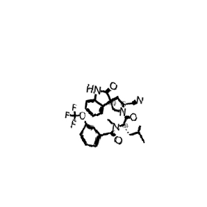 CC(C)C[C@@H](C(=O)N1C[C@]2(C[C@H]1C#N)C(=O)Nc1ccccc12)N(C)C(=O)c1cccc(OC(F)(F)F)c1